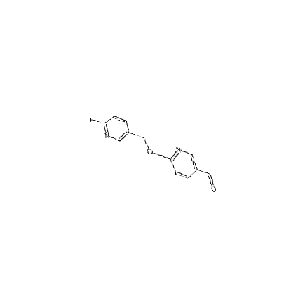 O=Cc1ccc(OCc2ccc(F)nc2)nc1